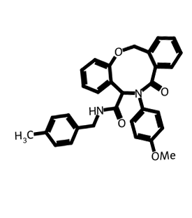 COc1ccc(N2C(=O)c3ccccc3COc3ccccc3C2C(=O)NCc2ccc(C)cc2)cc1